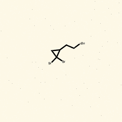 CCCCCCC1CC1(Br)Br